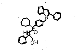 O=C(N[C@@H](CO)c1ccccc1)[C@H](c1ccc(Cn2c(-c3ccccc3)cc3ccccc32)cc1)C1CCCCCC1